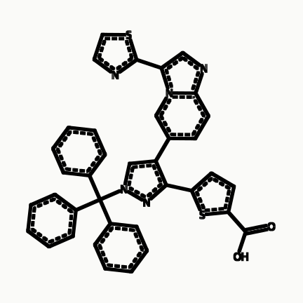 O=C(O)c1ccc(-c2nn(C(c3ccccc3)(c3ccccc3)c3ccccc3)cc2-c2ccc3ncc(-c4nccs4)n3c2)s1